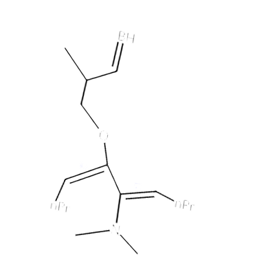 B=CC(C)COC(=C/CCC)/C(=C/CCC)N(C)C